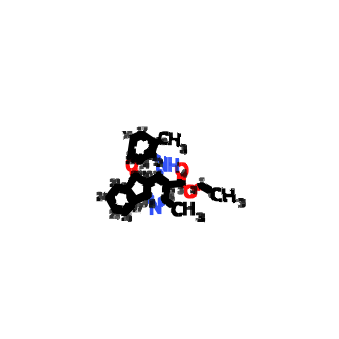 CCOC(=O)c1c(C)nc2c(c1Nc1ccccc1C)C(=O)c1ccccc1-2